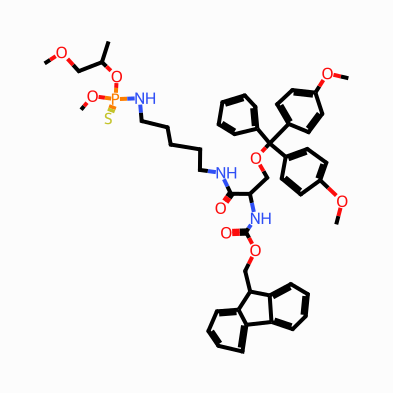 COCC(C)OP(=S)(NCCCCCNC(=O)C(COC(c1ccccc1)(c1ccc(OC)cc1)c1ccc(OC)cc1)NC(=O)OCC1c2ccccc2-c2ccccc21)OC